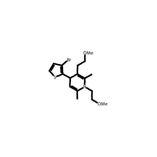 COCCC1=C(C)N(CCOC)C(C)=CC1c1sccc1Br